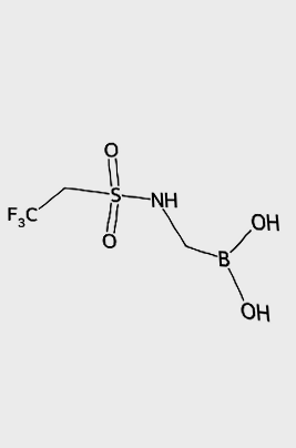 O=S(=O)(CC(F)(F)F)NCB(O)O